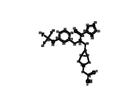 O=C(O)CN1CC2C(C1)C2CN(Cc1cccc(OC(F)(F)F)c1)C(=O)c1cscn1